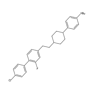 CCCCc1ccc(C2CCC(CCc3ccc(-c4ccc(Cl)cc4)c(F)c3)CC2)cc1